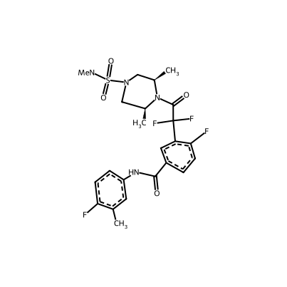 CNS(=O)(=O)N1C[C@@H](C)N(C(=O)C(F)(F)c2cc(C(=O)Nc3ccc(F)c(C)c3)ccc2F)[C@@H](C)C1